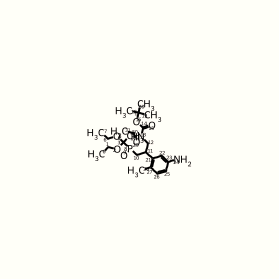 CCOC(C)(OCC)P(=O)(CC(CNC(=O)OC(C)(C)C)c1cc(N)ccc1C)OCC